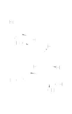 COC[C@@H]1C[C@@](C)(O)C[C@H]2CC[C@@H]3[C@H](CC[C@]4(C)[C@@H](C(=O)CBr)CC[C@@H]34)C21